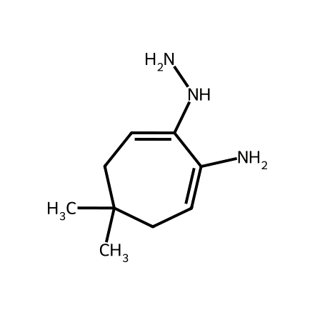 CC1(C)CC=C(N)C(NN)=CC1